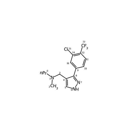 CCCN(C)Cc1c[nH]nc1-c1ccc(C(F)(F)F)c(Cl)c1